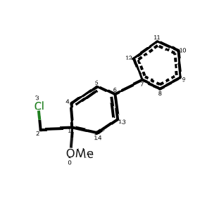 COC1(CCl)C=CC(c2ccccc2)=CC1